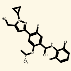 C[C@H](Oc1cc(-c2cc(CO)n(C3CC3)n2)c(F)cc1C(O)Nc1c(F)cccc1Cl)C(F)(F)F